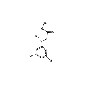 CC(C)(C)OC(=O)CC(Br)c1cc(Cl)cc(Cl)c1